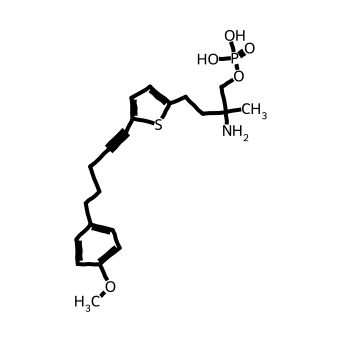 COc1ccc(CCCC#Cc2ccc(CCC(C)(N)COP(=O)(O)O)s2)cc1